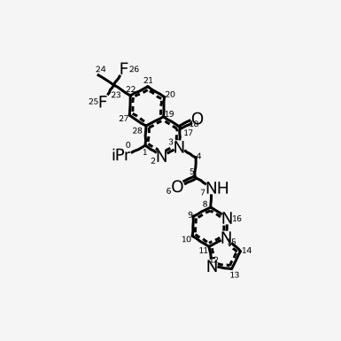 CC(C)c1nn(CC(=O)Nc2ccc3nccn3n2)c(=O)c2ccc(C(C)(F)F)cc12